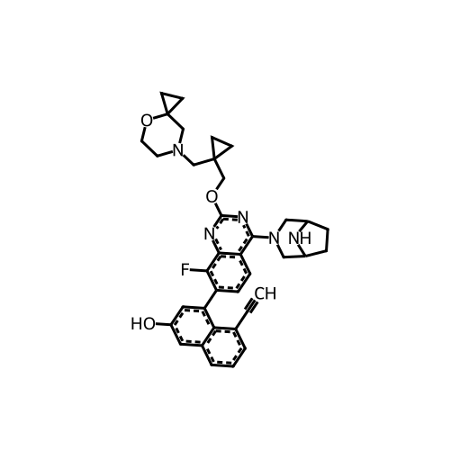 C#Cc1cccc2cc(O)cc(-c3ccc4c(N5CC6CCC(C5)N6)nc(OCC5(CN6CCOC7(CC7)C6)CC5)nc4c3F)c12